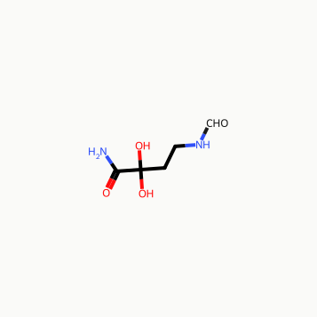 NC(=O)C(O)(O)CCNC=O